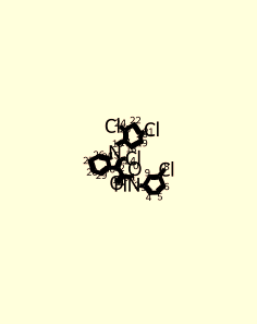 O=C(Nc1cccc(Cl)c1)C(=O)c1c(Cl)n(Cc2ccc(Cl)cc2Cl)c2ccccc12